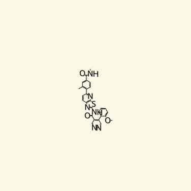 CNC(=O)c1ccc(-c2ccc3nc(NC(=O)c4cnncc4-c4ccccc4OC)sc3n2)c(C)c1